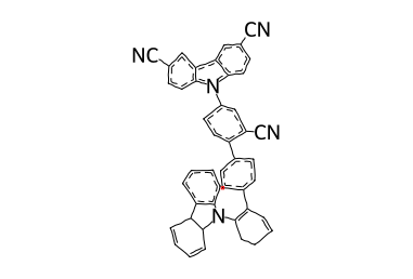 N#Cc1ccc2c(c1)c1cc(C#N)ccc1n2-c1ccc(-c2ccc(C3=C(N4c5ccccc5C5C=CC=CC54)CCC=C3)cc2)c(C#N)c1